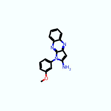 COc1cccc(-n2c(N)cc3nc4ccccc4nc32)c1